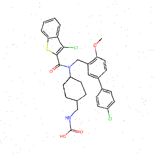 COc1ccc(-c2ccc(Cl)cc2)cc1CN(C(=O)c1sc2ccccc2c1Cl)C1CCC(CNC(=O)O)CC1